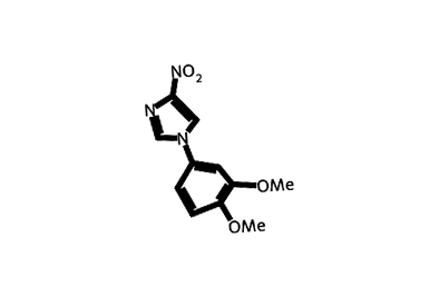 COc1ccc(-n2cnc([N+](=O)[O-])c2)cc1OC